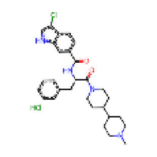 CN1CCC(C2CCN(C(=O)[C@@H](Cc3ccccc3)NC(=O)c3ccc4c(Cl)c[nH]c4c3)CC2)CC1.Cl